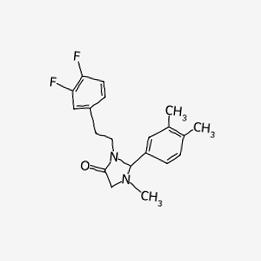 Cc1ccc(C2N(C)CC(=O)N2CCc2ccc(F)c(F)c2)cc1C